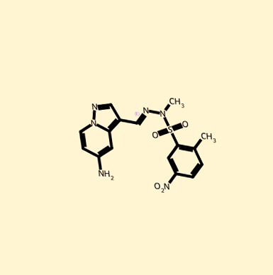 Cc1ccc([N+](=O)[O-])cc1S(=O)(=O)N(C)/N=C/c1cnn2ccc(N)cc12